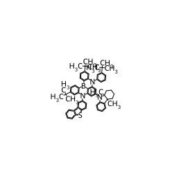 CC(C)(C)c1cccc(N2c3cc(C(C)(C)C)ccc3B3c4ccc(C(C)(C)C)cc4N(c4ccc5sc6ccccc6c5c4)c4cc(N5c6ccccc6C6(C)CCCCC56C)cc2c43)c1